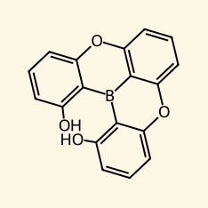 Oc1cccc2c1B1c3c(O)cccc3Oc3cccc(c31)O2